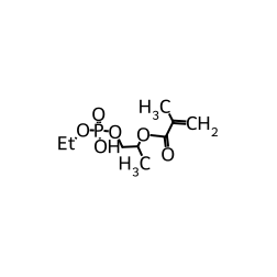 C=C(C)C(=O)OC(C)COP(=O)(O)OCC